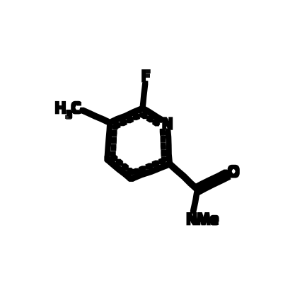 CNC(=O)c1ccc(C)c(F)n1